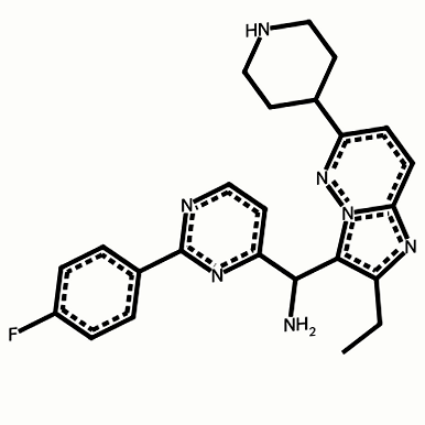 CCc1nc2ccc(C3CCNCC3)nn2c1C(N)c1ccnc(-c2ccc(F)cc2)n1